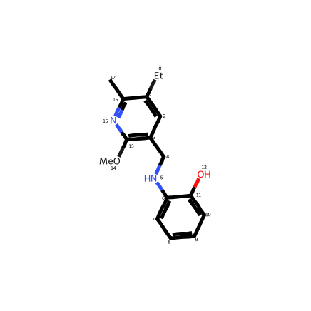 CCc1cc(CNc2ccccc2O)c(OC)nc1C